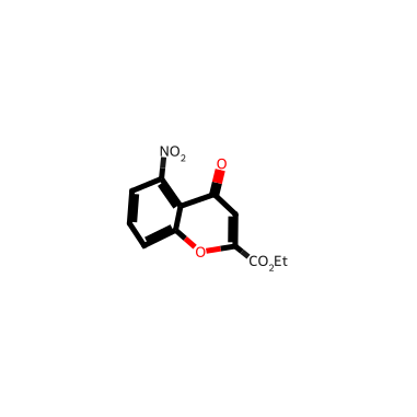 CCOC(=O)c1cc(=O)c2c([N+](=O)[O-])cccc2o1